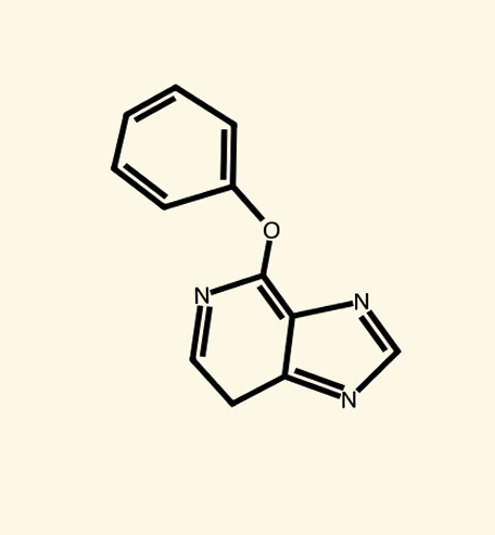 C1=NC(Oc2ccccc2)=C2N=CN=C2C1